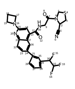 N#CC1CSCN1C(=O)CNC(=O)c1cc(N2CCC2)nc2ccc(-c3cccc(C(F)C(F)F)c3)cc12